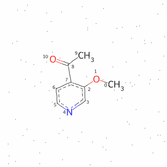 COc1cnccc1C(C)=O